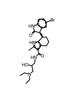 CCN(CC)CC(O)CNC(=O)c1c(C)[nH]c2c1CCC/C2=C1/C(=O)Nc2ccc(Br)cc21